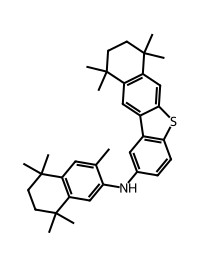 Cc1cc2c(cc1Nc1ccc3sc4cc5c(cc4c3c1)C(C)(C)CCC5(C)C)C(C)(C)CCC2(C)C